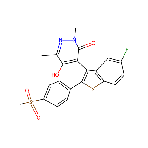 Cc1nn(C)c(=O)c(-c2c(-c3ccc(S(C)(=O)=O)cc3)sc3ccc(F)cc23)c1O